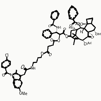 COc1ccc2c(c1)c(CC(=O)NCCCCOC(=O)CCC(=O)OC(C(=O)OC1C[C@@]3(O)[C@@H](OC(=O)c4ccccc4)[C@H]4[C@](C)(C(=O)[C@H](OC(C)=O)C(=C1C)C3(C)C)[C@@H](O)CC1CC[C@]14OC(C)=O)[C@@H](NC(=O)c1ccccc1)c1ccccc1)c(C)n2C(=O)c1ccc(Cl)cc1